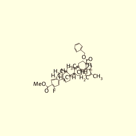 C=C(C)[C@@H]1CC[C@@]2(C(=O)OCc3ccccc3)CC[C@]3(C)[C@H](CC[C@@H]4[C@]5(C)CC=C(c6ccc(C(=O)OC)c(F)c6)C(C)(C)[C@@H]5CC[C@]43C)[C@@H]12